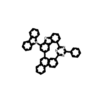 c1ccc(-c2nc(-c3ccccc3)nc(-c3cccc4oc5c(-n6c7ccccc7c7ccccc76)cc(-c6ccc7ccccc7c6)cc5c34)n2)cc1